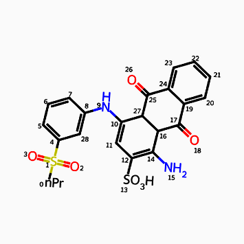 CCCS(=O)(=O)c1cccc(NC2=CC(S(=O)(=O)O)=C(N)C3C(=O)c4ccccc4C(=O)C23)c1